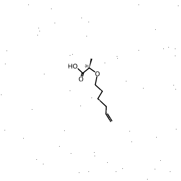 C=CCCCCO[C@H](C)C(=O)O